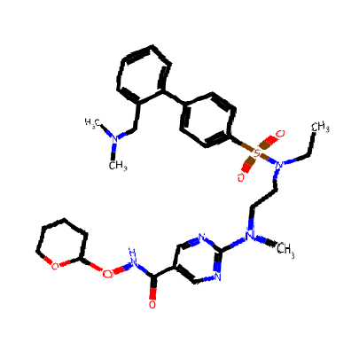 CCN(CCN(C)c1ncc(C(=O)NOC2CCCCO2)cn1)S(=O)(=O)c1ccc(-c2ccccc2CN(C)C)cc1